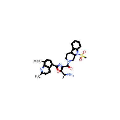 COc1ccc(-c2nc(C(=O)N3CCc4c(n(S(C)(=O)=O)c5ccccc45)C3)c([C@H](C)N)o2)c2ccc(C(F)(F)F)nc12